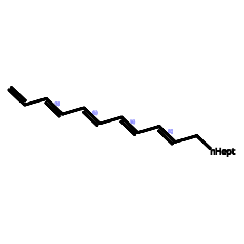 C=C/C=C/C=C/C=C/C=C/CCCCCCCC